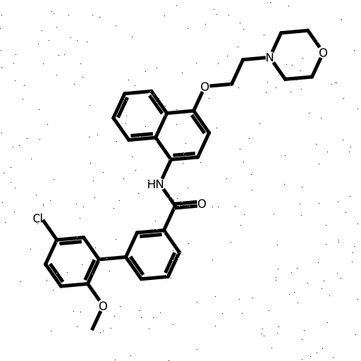 COc1ccc(Cl)cc1-c1cccc(C(=O)Nc2ccc(OCCN3CCOCC3)c3ccccc23)c1